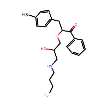 CCCCNCC(O)COC(Cc1ccc(C)cc1)C(=O)c1ccccc1